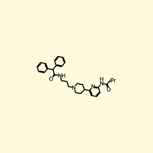 CC(C)C(=O)Nc1cccc(C2CCN(CCCNC(=O)C(c3ccccc3)c3ccccc3)CC2)n1